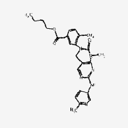 CCCCOC(=O)c1ccc(C)c(N2Cc3cnc(Nc4ccc(C)nc4)nc3N(C)C2=O)c1